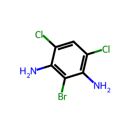 Nc1c(Cl)cc(Cl)c(N)c1Br